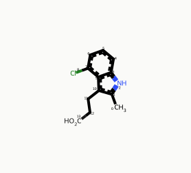 Cc1[nH]c2cccc(Cl)c2c1CCC(=O)O